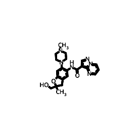 CN1CCN(c2cc3c(cc2NC(=O)c2cnn4cccnc24)CC(C)(CO)O3)CC1